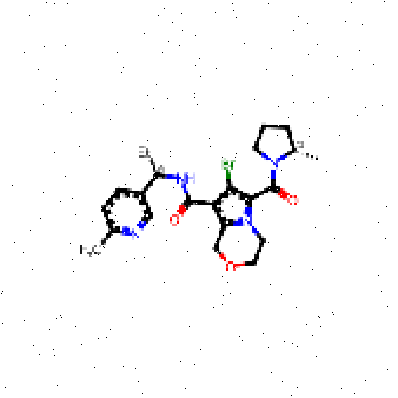 CC[C@@H](NC(=O)c1c(Br)c(C(=O)N2CCC[C@@H]2C)n2c1COCC2)c1ccc(C(F)(F)F)nc1